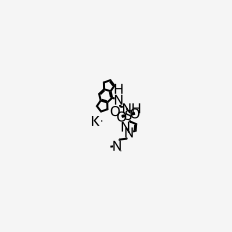 CN(C)CCn1ccc(S(=O)(=O)NC(=O)Nc2c3c(cc4c2CCC4)CC=C3)n1.[K]